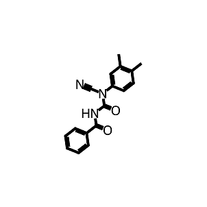 Cc1ccc(N(C#N)C(=O)NC(=O)c2ccccc2)cc1C